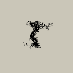 CCOC(=O)[C@@H](OC(C)(C)C)c1c(C)cc2nc(-c3ccnc(-c4ccc5c(F)nn(C)c5c4)c3)sc2c1-c1ccc(Cl)cc1